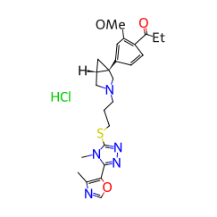 CCC(=O)c1ccc([C@]23C[C@H]2CN(CCCSc2nnc(-c4ocnc4C)n2C)C3)cc1OC.Cl